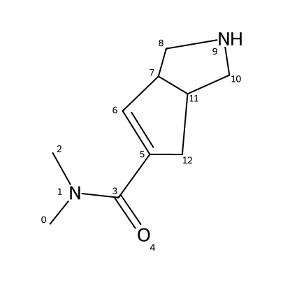 CN(C)C(=O)C1=CC2CNCC2C1